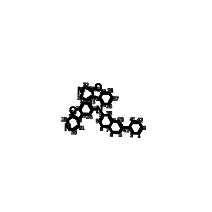 c1ccc(-c2ccc3ccc(N(c4ccc5oc6cnccc6c5c4)c4cccc5oc6cnccc6c45)cc3c2)cc1